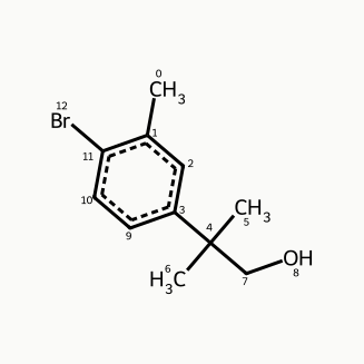 Cc1cc(C(C)(C)CO)ccc1Br